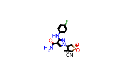 C[C@]1(C#N)CS(=O)(=O)C[C@H]1n1cc(C(N)=O)c(Nc2ccc(F)cc2)n1